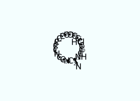 Cl.N#Cc1cnccnccccccocccccc[nH]1